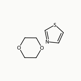 C1COCCO1.c1cscn1